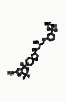 CNS(=O)(=O)c1cccc(OC[C@@H](O)CNC2COC3(CCN(S(=O)(=O)c4cc(C)oc4C(F)(F)F)CC3)C2)c1